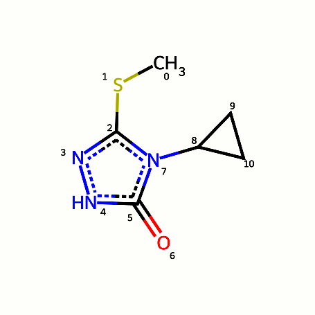 CSc1n[nH]c(=O)n1C1CC1